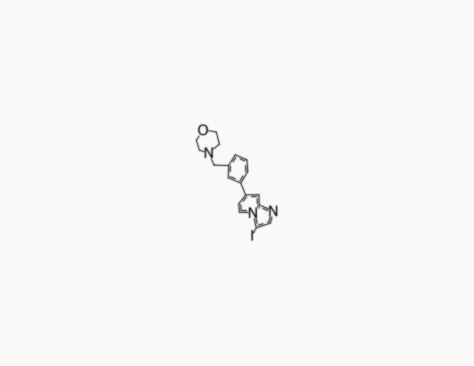 Ic1cnc2cc(-c3cccc(CN4CCOCC4)c3)ccn12